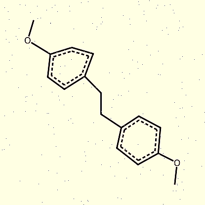 COc1ccc(CCc2ccc(OC)cc2)cc1